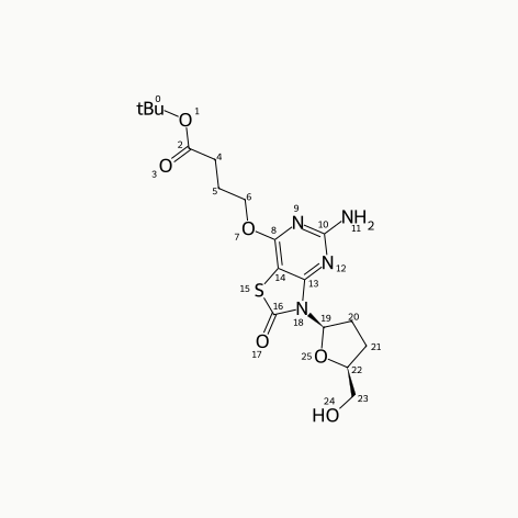 CC(C)(C)OC(=O)CCCOc1nc(N)nc2c1sc(=O)n2[C@H]1CC[C@@H](CO)O1